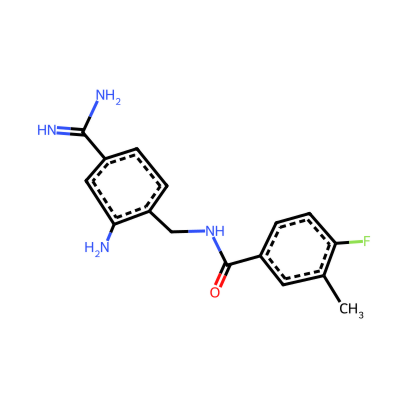 Cc1cc(C(=O)NCc2ccc(C(=N)N)cc2N)ccc1F